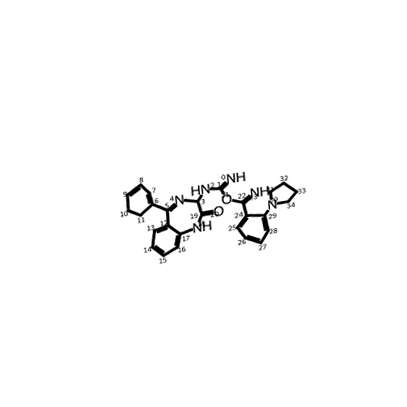 N=C(NC1N=C(C2=CC=CCC2)c2ccccc2NC1=O)OC(=N)c1ccccc1N1CCCC1